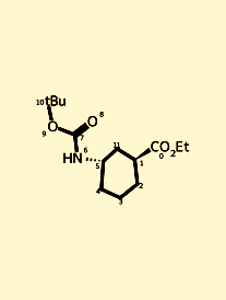 CCOC(=O)[C@H]1CCC[C@H](NC(=O)OC(C)(C)C)C1